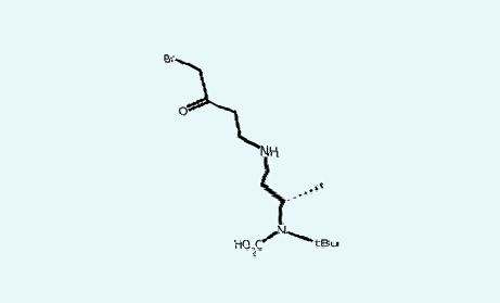 C[C@@H](CNCCC(=O)CBr)N(C(=O)O)C(C)(C)C